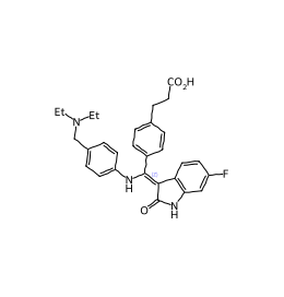 CCN(CC)Cc1ccc(N/C(=C2\C(=O)Nc3cc(F)ccc32)c2ccc(CCC(=O)O)cc2)cc1